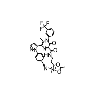 CC(=O)OC(CCNC(=O)c1nc(-c2ccnn2-c2ccc(C#N)cc2)c(C)n(-c2cccc(C(F)(F)F)c2)c1=O)[N+](C)(C)C